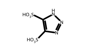 O=S(=O)(O)c1nn[nH]c1S(=O)(=O)O